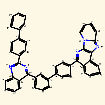 c1ccc(-c2ccc(-c3nc(-c4cccc(-c5ccc(-c6nc7c(nc8ccccn87)c7ccccc67)cc5)c4)c4ccccc4n3)cc2)cc1